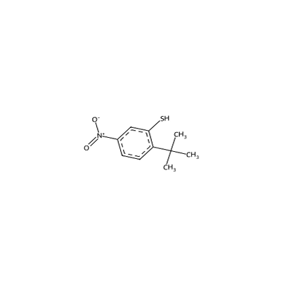 CC(C)(C)c1ccc([N+](=O)[O-])cc1S